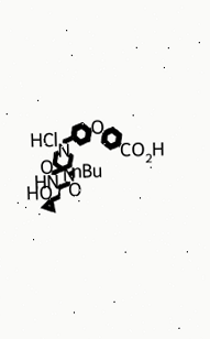 CCCCN1C(=O)[C@@H](CC2(O)CC2)NC(=O)C12CCN(Cc1ccc(Oc3ccc(C(=O)O)cc3)cc1)CC2.Cl